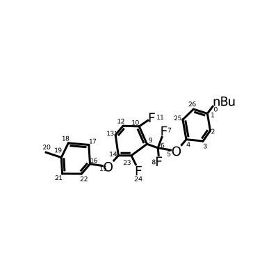 CCCCc1ccc(OC(F)(F)c2c(F)c[c]c(Oc3ccc(C)cc3)c2F)cc1